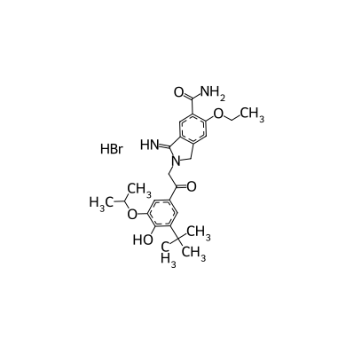 Br.CCOc1cc2c(cc1C(N)=O)C(=N)N(CC(=O)c1cc(OC(C)C)c(O)c(C(C)(C)C)c1)C2